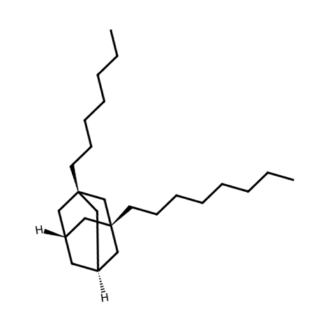 CCCCCCCC[C@@]12C[C@@H]3C[C@@H](C[C@](CCCCCCC)(C3)C1)C2